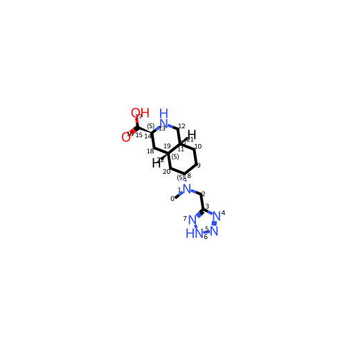 CN(Cc1nn[nH]n1)[C@H]1CC[C@H]2CN[C@H](C(=O)O)C[C@H]2C1